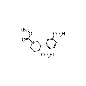 CCOC(=O)[C@@H]1CCN(C(=O)OC(C)(C)C)C[C@@H]1c1cccc(C(=O)O)c1